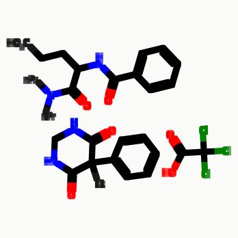 CCC1(c2ccccc2)C(=O)NCNC1=O.CCCN(CCC)C(=O)C(CCC(=O)O)NC(=O)c1ccccc1.O=C(O)C(Cl)(Cl)Cl